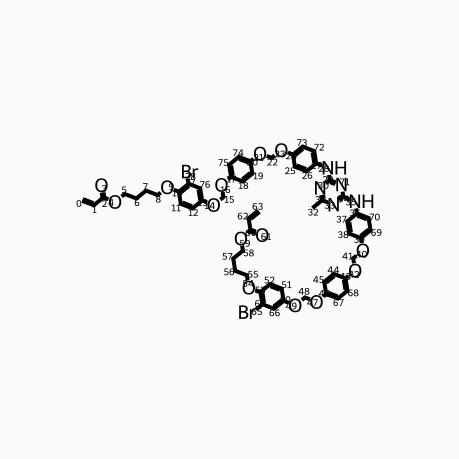 C=CC(=O)OCCCCOc1ccc(OCOc2ccc(OCOc3ccc(Nc4nc(C)nc(Nc5ccc(OCOc6ccc(OCOc7ccc(OCCCCOC(=O)C=C)c(Br)c7)cc6)cc5)n4)cc3)cc2)cc1Br